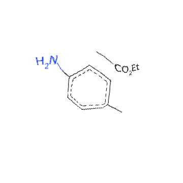 CCOC(C)=O.Cc1ccc(N)cc1